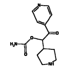 NC(=O)OC(C(=O)c1ccncc1)C1CCNCC1